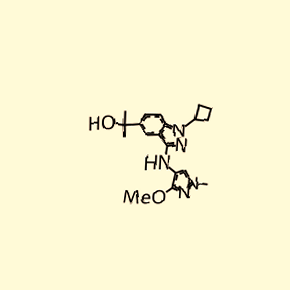 COc1nn(C)cc1Nc1nn(C2CCC2)c2ccc(C(C)(C)O)cc12